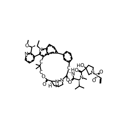 C=CS(=O)(=O)N1CCC(O)(C(=O)N(C)[C@H](C(=O)N[C@H]2Cc3cccc(c3)-c3ccc4c(c3)c(c(-c3cccnc3[C@H](C)OC)n4CC)CC(C)(C)COC(=O)[C@@H]3CCCN(N3)C2=O)C(C)C)C1